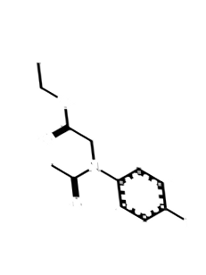 CCOC(=O)CN(C(C)=O)c1ccc(F)cc1